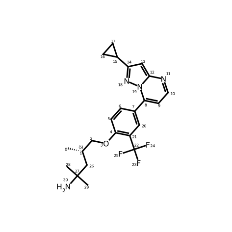 C[C@H](COc1ccc(-c2ccnc3cc(C4CC4)nn23)cc1C(F)(F)F)CC(C)(C)N